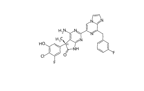 C[C@]1(c2cc(O)c(Cl)c(F)c2)C(=O)Nc2nc(-c3cn4ccnc4c(Cc4cccc(F)c4)n3)nc(N)c21